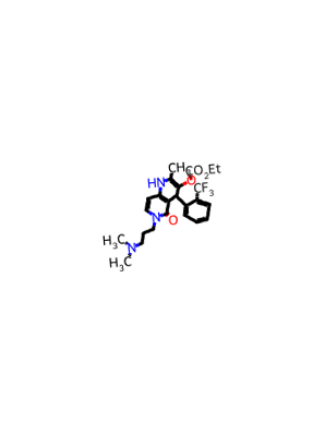 CCOC(=O)OC1=C(C)Nc2ccn(CCCN(C)C)c(=O)c2C1c1ccccc1C(F)(F)F